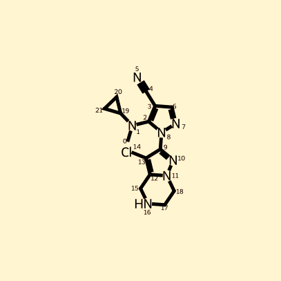 CN(c1c(C#N)cnn1-c1nn2c(c1Cl)CNCC2)C1CC1